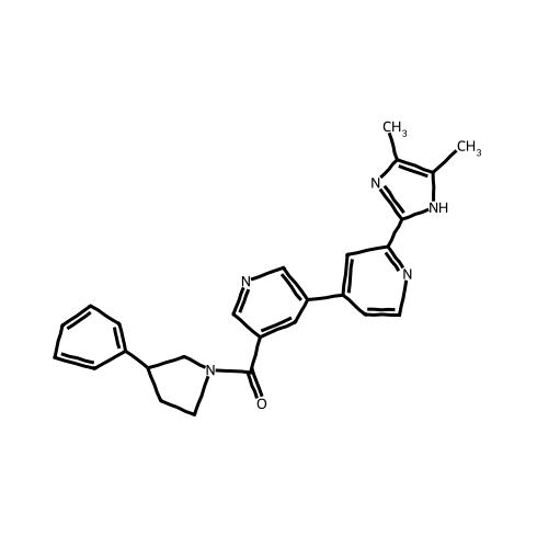 Cc1nc(-c2cc(-c3cncc(C(=O)N4CCC(c5ccccc5)C4)c3)ccn2)[nH]c1C